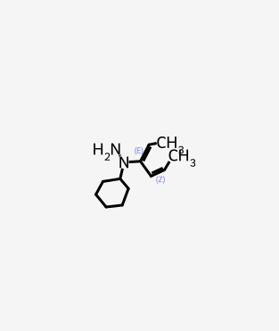 C/C=C\C(=C/C)N(N)C1CCCCC1